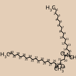 CCCCCCCCCCCCCCCCN(C)C(=O)CCC(=O)N(C)CCCCCCCCCCCCCCCC